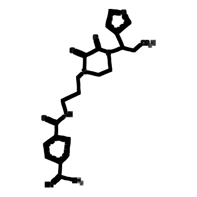 N=C(N)c1ccc(C(=O)NCCCN2CCN(C(CC(=O)O)c3ccoc3)C(=O)C2=O)cc1